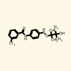 CC(C)(O)C(C)(C)OBc1ccc(NC(=O)c2cccc(C(F)(F)F)c2)cc1